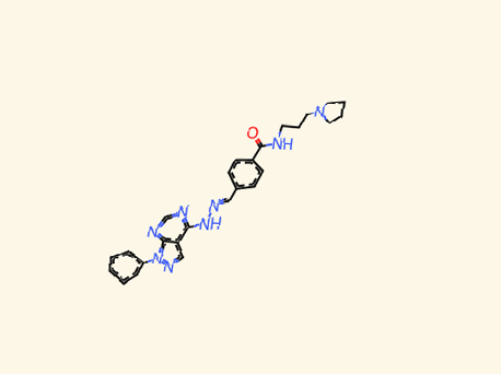 O=C(NCCCN1CCCC1)c1ccc(C=NNc2ncnc3c2cnn3-c2ccccc2)cc1